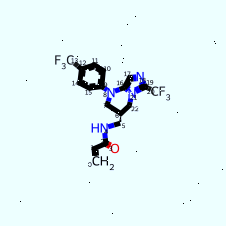 C=CC(=O)NC[C@@H]1CN(c2ccc(C(F)(F)F)cc2)c2cnc(C(F)(F)F)n2C1